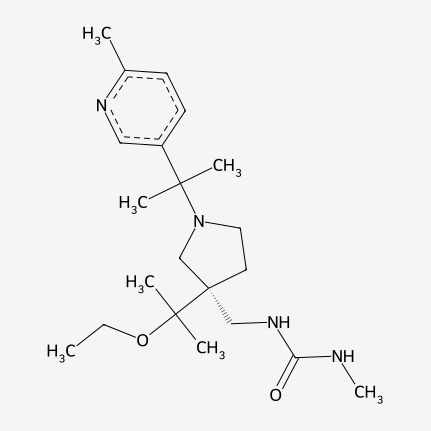 CCOC(C)(C)[C@]1(CNC(=O)NC)CCN(C(C)(C)c2ccc(C)nc2)C1